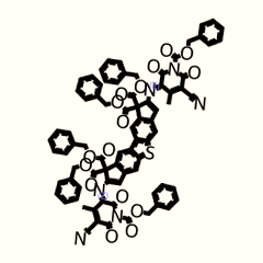 CC1=C(C#N)C(=O)N(C(=O)OCc2ccccc2)C(=O)/C1=N\C1=Cc2cc3sc4cc5c(cc4c3cc2C1(C(=O)OCc1ccccc1)C(=O)OCc1ccccc1)C(C(=O)OCc1ccccc1)(C(=O)OCc1ccccc1)C(/N=C1/C(=O)N(C(=O)OCc2ccccc2)C(=O)C(C#N)=C1C)=C5